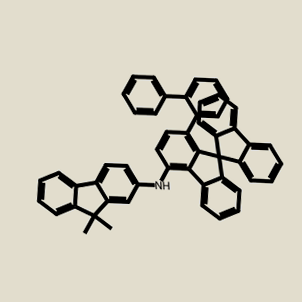 CC1(C)c2ccccc2-c2ccc(Nc3ccc(-c4ccccc4-c4ccccc4)c4c3-c3ccccc3C43c4ccccc4-c4ccccc43)cc21